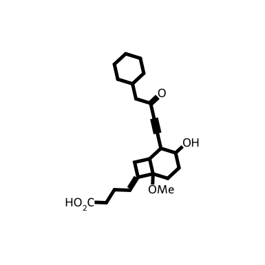 COC12CCC(O)C(C#CC(=O)CC3CCCCC3)C1CC2=CCCC(=O)O